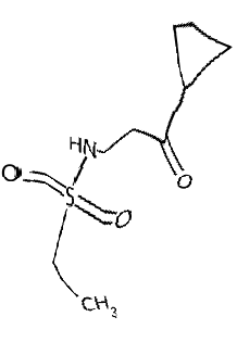 CCS(=O)(=O)NC(=O)C1CC1